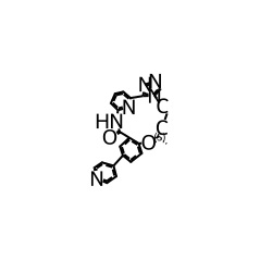 C[C@H]1CCCn2cnnc2-c2cccc(n2)NC(=O)c2cc(-c3ccncc3)ccc2O1